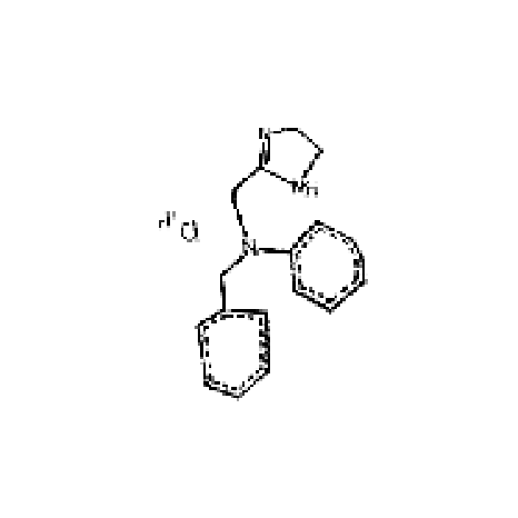 [Cl-].[H+].c1ccc(CN(CC2=NCCN2)c2ccccc2)cc1